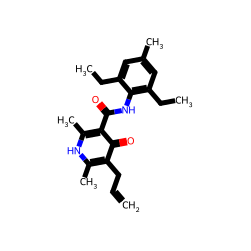 C=CCc1c(C)[nH]c(C)c(C(=O)Nc2c(CC)cc(C)cc2CC)c1=O